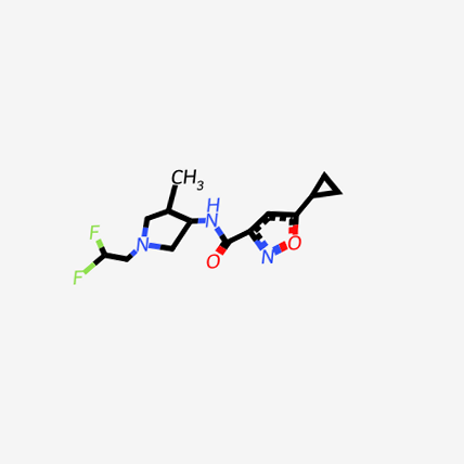 CC1CN(CC(F)F)CC1NC(=O)c1cc(C2CC2)on1